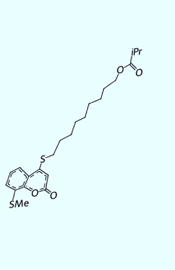 CSc1cccc2c(SCCCCCCCCCOC(=O)C(C)C)cc(=O)oc12